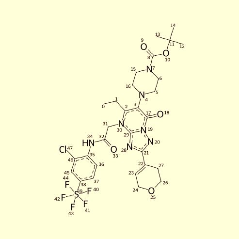 CCc1c(N2CCN(C(=O)OC(C)(C)C)CC2)c(=O)n2nc(C3=CCOCC3)nc2n1CC(=O)Nc1ccc(S(F)(F)(F)(F)F)cc1Cl